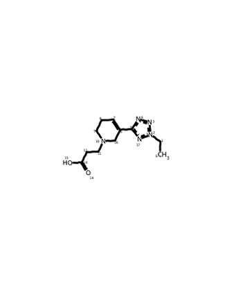 CCn1nnc(C2=CCCN(CCC(=O)O)C2)n1